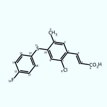 Cc1cc(C=CC(=O)O)c(Cl)cc1Sc1ccc(F)cc1